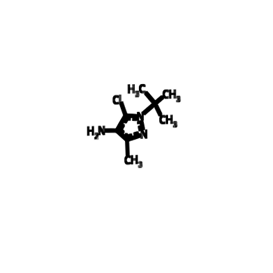 Cc1nn(C(C)(C)C)c(Cl)c1N